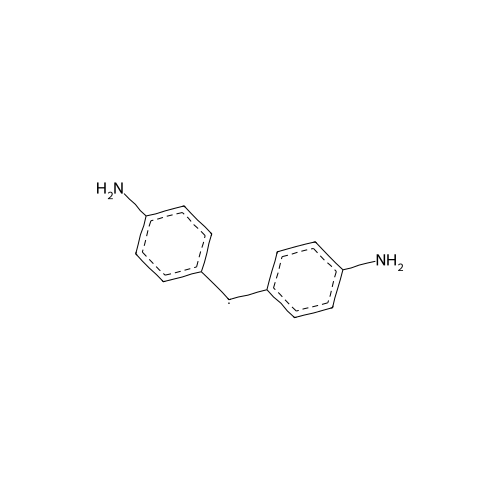 Nc1ccc([CH]c2ccc(N)cc2)cc1